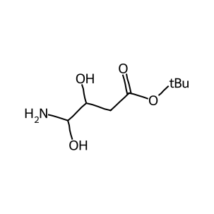 CC(C)(C)OC(=O)CC(O)C(N)O